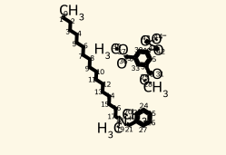 CCCCCCCCCCCCCCCCCC[N+](C)(C)Cc1ccccc1.COC(=O)c1cc(C(=O)OC)cc(S(=O)(=O)[O-])c1